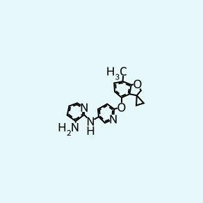 Cc1ccc(Oc2ccc(Nc3ncccc3N)cn2)c2c1OCC21CC1